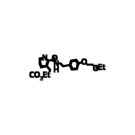 CCOCCOc1ccc(CCNC(=O)c2ncccc2CC(=O)OCC)cc1